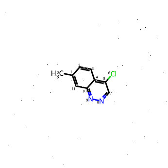 Cc1ccc2c(Cl)cnnc2c1